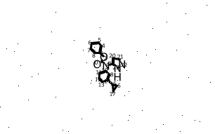 O=C(Oc1ccccc1)N(c1cccc(C2CC2)c1)c1ccn[nH]1